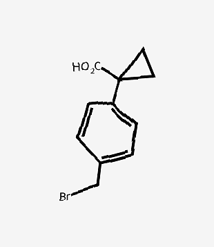 O=C(O)C1(c2ccc(CBr)cc2)CC1